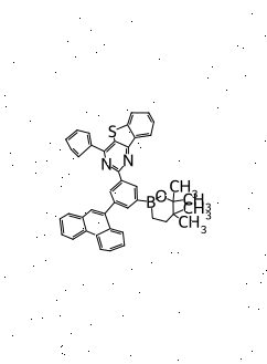 CC1(C)CCB(c2cc(-c3nc(-c4ccccc4)c4sc5ccccc5c4n3)cc(-c3cc4ccccc4c4ccccc34)c2)OC1(C)C